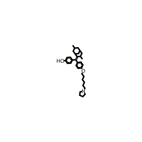 CC1CC2CC(C)/C(=C(/c3ccc(O)cc3)c3ccc(OCCCCCCN4CCCC4)cc3)C(C1)C2